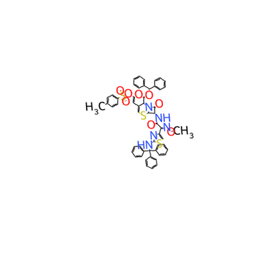 CON=C(C(=O)NC1C(=O)N2C(C(=O)OC(c3ccccc3)c3ccccc3)C(C=COS(=O)(=O)c3ccc(C)cc3)=CSC12)c1csc(NC(c2ccccc2)(c2ccccc2)c2ccccc2)n1